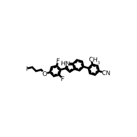 Cc1cc(C#N)ccc1-c1ccc2[nH]c(-c3c(F)cc(OCCCI)cc3F)cc2c1